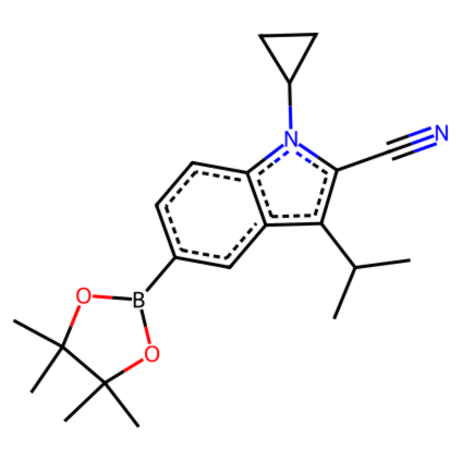 CC(C)c1c(C#N)n(C2CC2)c2ccc(B3OC(C)(C)C(C)(C)O3)cc12